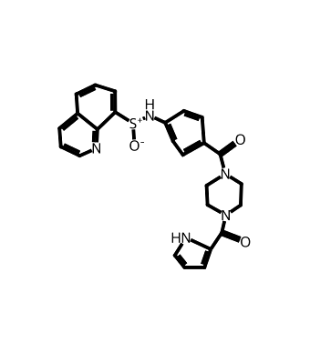 O=C(c1ccc(N[S+]([O-])c2cccc3cccnc23)cc1)N1CCN(C(=O)c2ccc[nH]2)CC1